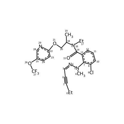 CCC#C/C=N\N(C)c1c(Cl)cccc1C(=O)N(CC)C(C)COc1ccc(OC(F)(F)F)cn1